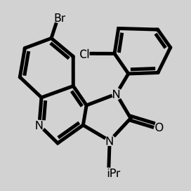 CC(C)n1c(=O)n(-c2ccccc2Cl)c2c3cc(Br)ccc3ncc21